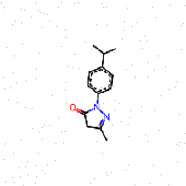 CC1=NN(c2ccc(C(C)C)cc2)C(=O)C1